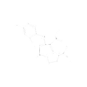 COC(=O)c1c(Nc2ccc(Br)cc2F)cc(=O)n2c1C(C(N)=O)CC2